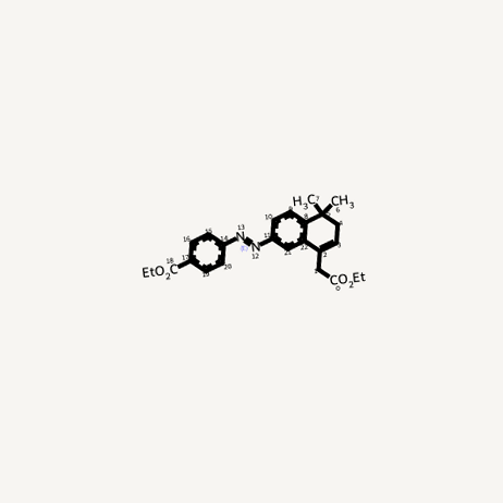 CCOC(=O)CC1=CCC(C)(C)c2ccc(/N=N/c3ccc(C(=O)OCC)cc3)cc21